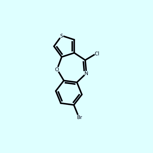 ClC1=Nc2cc(Br)ccc2Oc2cscc21